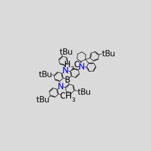 Cc1cc(C(C)(C)C)ccc1N1c2ccc(C(C)(C)C)cc2B2c3ccc(N4c5ccccc5C5(c6ccc(C(C)(C)C)cc6)CCCCC45C)cc3N(c3ccc(C(C)(C)C)cc3)c3cc(C(C)(C)C)cc1c32